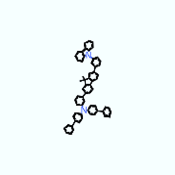 CC1(C)c2cc(-c3cccc(N(c4ccc(-c5ccccc5)cc4)c4ccc(-c5ccccc5)cc4)c3)ccc2-c2ccc(-c3cccc(-n4c5ccccc5c5ccccc54)c3)cc21